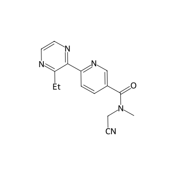 CCc1nccnc1-c1ccc(C(=O)N(C)CC#N)cn1